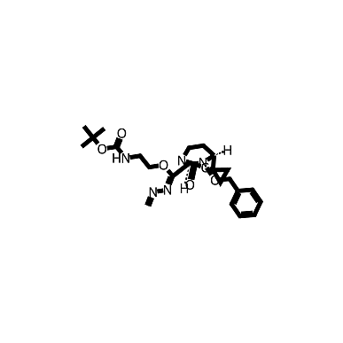 C=N/N=C(\OCCNC(=O)OC(C)(C)C)[C@@H]1CC2(CC2)[C@@H]2CCN1C(=O)N2OCc1ccccc1